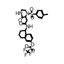 Cc1ccc(S(=O)(=O)N2CCNC(=O)C2CC(=O)NC2CCCc3cc(OS(=O)(=O)C(F)(F)F)ccc32)cc1